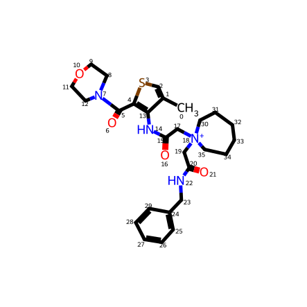 Cc1csc(C(=O)N2CCOCC2)c1NC(=O)C[N+]1(CC(=O)NCc2ccccc2)CCCCCC1